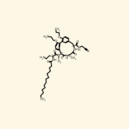 CCCCCCCCCCCCCC(=O)N[C@@H](CCN)C(=O)N(C)[C@@H]1C(=O)N[C@@H](C)C(=O)N[C@H](C(=O)NCC#N)Cc2ccc(OCCC)c(c2)-c2cc1ccc2OCCN